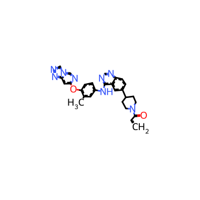 C=CC(=O)N1CCC(c2ccc3ncnc(Nc4ccc(Oc5cc6nncn6cn5)c(C)c4)c3c2)CC1